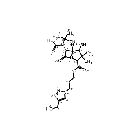 CC1(C)C(S)[C@H]2[C@@H](N(C(=O)O)C(C)(C)C)C(=O)N2[C@@H]1C(=O)NCCCn1cc(CO)nn1